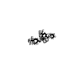 O=C(c1ccc(C(F)(F)F)c2nn(Cc3ccc(C(F)(F)F)nc3)c(=O)n12)N1CCCC1